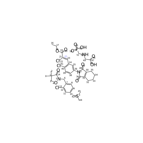 CC1(C)CON(Cc2ccccc2Cl)C1=O.CCOC(=O)/C(Cl)=C/c1cc(N2C(=O)C3=C(CCCC3)C2=O)ccc1Cl.C[S+](C)C.O=C(O)CNCP(=O)([O-])O